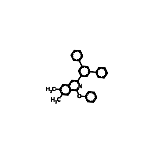 Cc1cc2cc(-c3cc(-c4ccccc4)cc(-c4ccccc4)c3)nc(Oc3ccccc3)c2cc1C